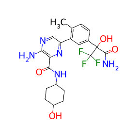 Cc1ccc(C(O)(C(N)=O)C(F)(F)F)cc1-c1cnc(N)c(C(=O)NC2CCC(O)CC2)n1